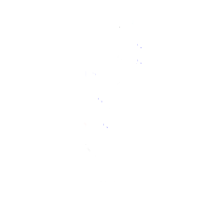 COC(=O)c1cccc(C(=O)Nc2ccc(-c3cc(C(F)(F)F)nn3C)c(N)n2)c1